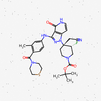 Cc1cc(Nc2nn([C@@]3(CC#N)CCN(C(=O)OC(C)(C)C)C[C@H]3F)c3cc[nH]c(=O)c23)ccc1C(=O)N1CCSCC1